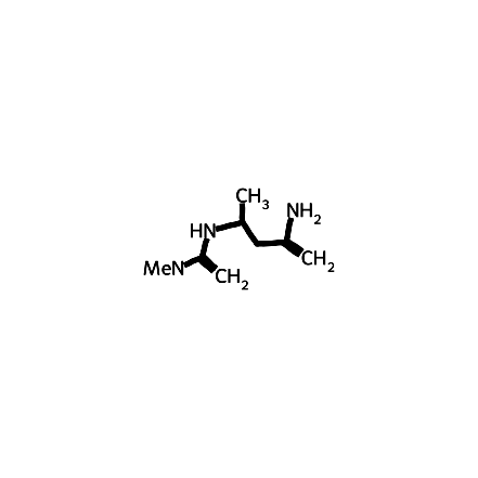 C=C(N)CC(C)NC(=C)NC